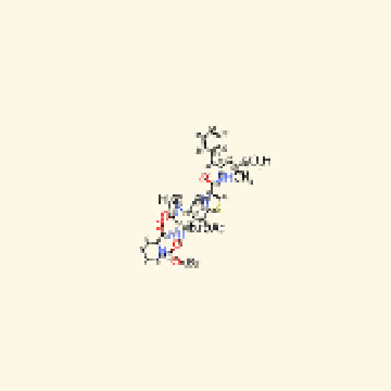 CC[C@H](C)[C@H](NC(=O)C1CCCCN1C(=O)OC(C)(C)C)C(=O)N(C)[C@H](C[C@@H](OC(C)=O)c1nc(C(=O)N[C@@H](Cc2ccccc2)C[C@H](C)C(=O)O)cs1)C(C)C